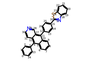 c1ccc(-c2c3ccccc3c(-c3ccc(-c4nc5ccccc5s4)cc3)c3cnccc23)cc1